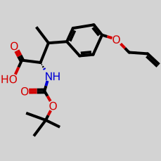 C=CCOc1ccc(C(C)[C@H](NC(=O)OC(C)(C)C)C(=O)O)cc1